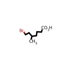 CC(CCBr)CCCC(=O)O